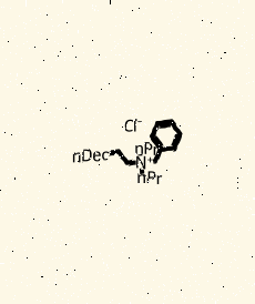 CCCCCCCCCCCC[N+](CCC)(CCC)Cc1ccccc1.[Cl-]